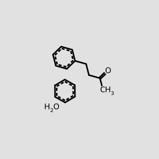 CC(=O)CCc1ccccc1.O.c1ccccc1